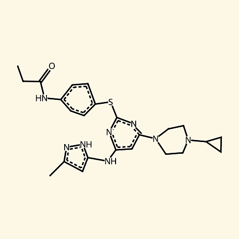 CCC(=O)Nc1ccc(Sc2nc(Nc3cc(C)n[nH]3)cc(N3CCN(C4CC4)CC3)n2)cc1